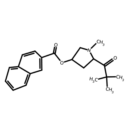 CN1CC(OC(=O)c2ccc3ccccc3c2)CC1C(=O)C(C)(C)C